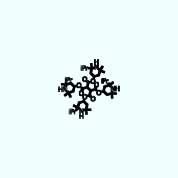 CC(C)C1(C)CC(OC(=O)C(C(=O)OC2CC(C)(C)NC(C)(C(C)C)C2)C(C(=O)OC2CC(C)(C)NC(C)(C(C)C)C2)C(=O)OC2CC(C)(C)NC(C)(C(C)C)C2)CC(C)(C)N1